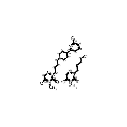 Cn1c(=O)cnn(CCCCCl)c1=O.Cn1c(=O)cnn(CCCCN2CC=C(c3cccc(F)n3)CC2)c1=O